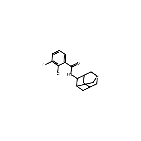 O=C(NC1C2CC3CC1CN(C3)C2)c1cccc(Cl)c1Cl